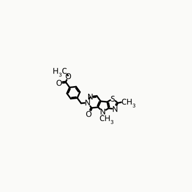 COC(=O)c1ccc(Cn2ncc3c4sc(C)nc4n(C)c3c2=O)cc1